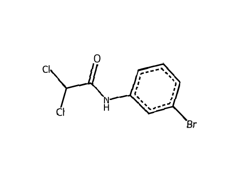 O=C(Nc1cccc(Br)c1)C(Cl)Cl